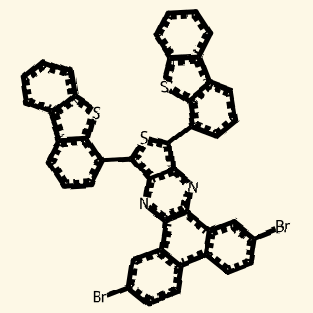 Brc1ccc2c3ccc(Br)cc3c3nc4c(-c5cccc6c5sc5ccccc56)sc(-c5cccc6c5sc5ccccc56)c4nc3c2c1